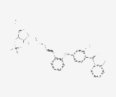 CO[C@@H]1O[C@H](COC/C=C/c2ccccc2Nc2ccc(C(=O)c3ccccc3C)c(Cl)c2)[C@H]2OC(C)(C)O[C@@H]12